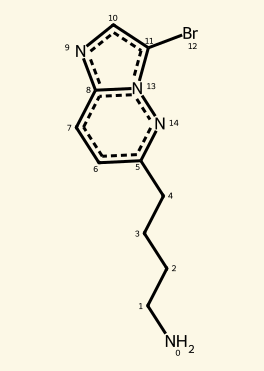 NCCCCc1ccc2ncc(Br)n2n1